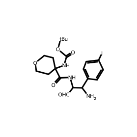 CC(C)(C)OC(=O)NC1(C(=O)NC(C=O)C(N)c2ccc(I)cc2)CCOCC1